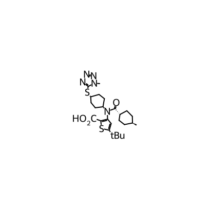 Cn1nnnc1S[C@H]1CC[C@H](N(c2cc(C(C)(C)C)sc2C(=O)O)C(=O)[C@H]2CC[C@H](C)CC2)CC1